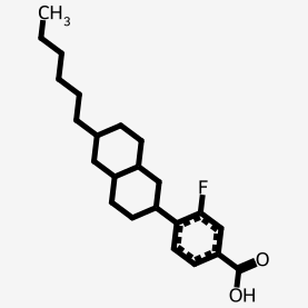 CCCCCCC1CCC2CC(c3ccc(C(=O)O)cc3F)CCC2C1